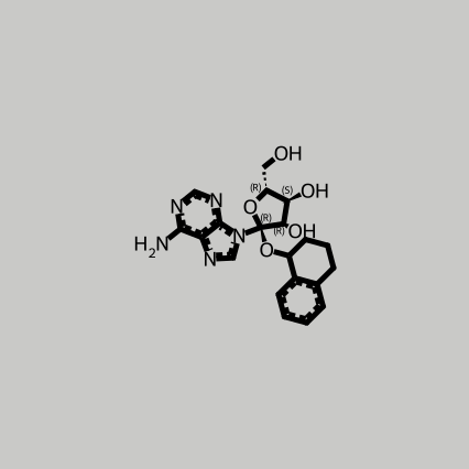 Nc1ncnc2c1ncn2[C@]1(OC2CCCc3ccccc32)O[C@H](CO)[C@@H](O)[C@H]1O